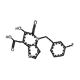 O=C(O)c1c(O)c(=O)n(Cc2cccc(F)c2)c2ccsc12